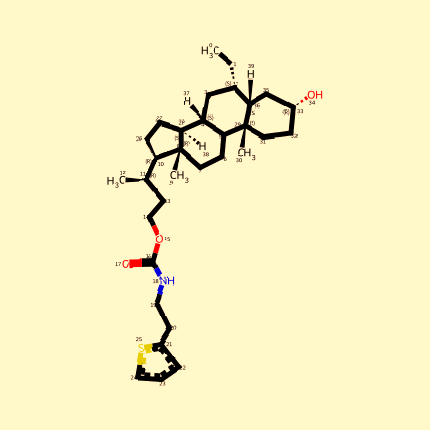 CC[C@H]1C[C@@H]2C(CC[C@]3(C)[C@@H]([C@H](C)CCOC(=O)NCCc4cccs4)CC[C@@H]23)[C@@]2(C)CC[C@@H](O)C[C@@H]12